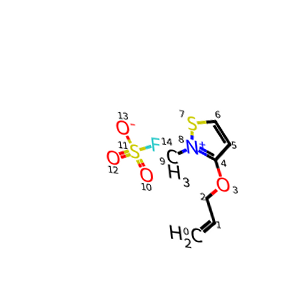 C=CCOc1ccs[n+]1C.O=S(=O)([O-])F